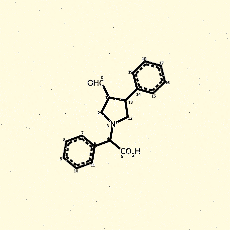 O=CC1CN(C(C(=O)O)c2ccccc2)CC1c1ccccc1